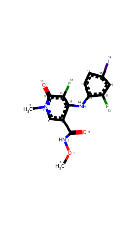 CONC(=O)c1cn(C)c(=O)c(F)c1Nc1ccc(I)cc1F